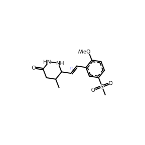 COc1ccc(S(C)(=O)=O)cc1/C=C/C1NNC(=O)CC1C